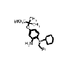 CCOC(=O)C(C)(C)Oc1ccc(N(CC(C)C)C2CCCCC2)c(N)c1